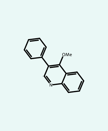 COc1c(-c2ccccc2)[c]nc2ccccc12